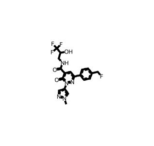 Cn1cc(-n2nc(-c3ccc(CF)cc3)cc(C(=O)NCC(O)C(F)(F)F)c2=O)cn1